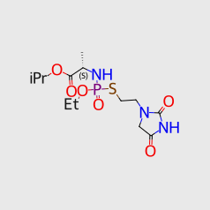 CCOP(=O)(N[C@@H](C)C(=O)OC(C)C)SCCN1CC(=O)NC1=O